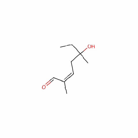 CCC(C)(O)CC=C(C)C=O